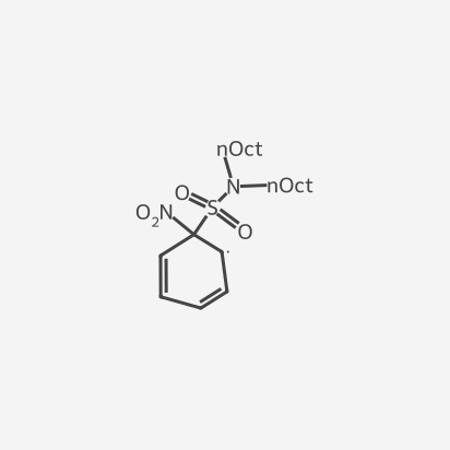 CCCCCCCCN(CCCCCCCC)S(=O)(=O)C1([N+](=O)[O-])[CH]C=CC=C1